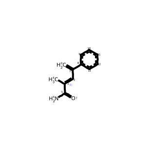 C=C(/C=C(\C)C(N)=O)c1ccccc1